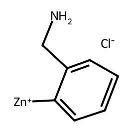 NCc1cccc[c]1[Zn+].[Cl-]